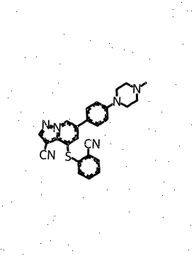 CN1CCN(c2ccc(-c3cc(Sc4ccccc4C#N)c4c(C#N)cnn4c3)cc2)CC1